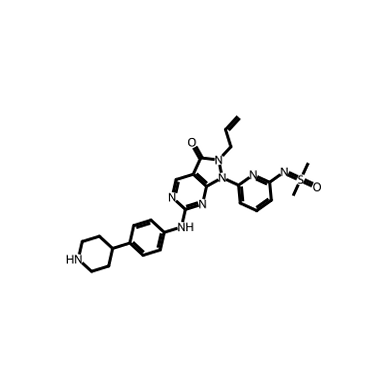 C=CCn1c(=O)c2cnc(Nc3ccc(C4CCNCC4)cc3)nc2n1-c1cccc(N=S(C)(C)=O)n1